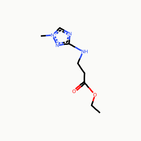 CCOC(=O)CCNc1ncn(C)n1